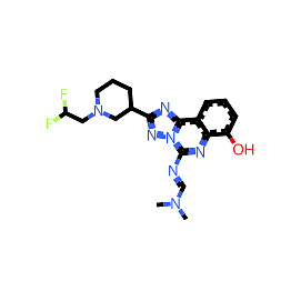 CN(C)C=Nc1nc2c(O)cccc2c2nc(C3CCCN(CC(F)F)C3)nn12